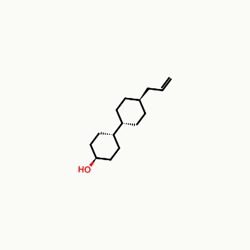 C=CC[C@H]1CC[C@H]([C@H]2CC[C@H](O)CC2)CC1